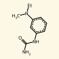 CCN(C)c1cccc(NC(N)=O)c1